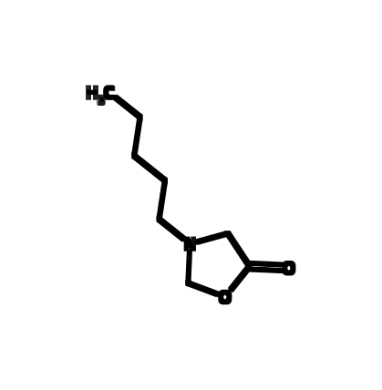 CCCCCN1COC(=O)C1